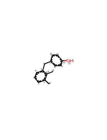 Cc1cccc(Cc2ccc(O)cc2)c1C